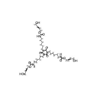 O=C(NCCCCCCn1c(=O)n(CCCCCCNC(=O)OCC#CCO)c(=O)n(CCCCCCN(I)C(=O)OCC#CCO)c1=O)OCC#CCO